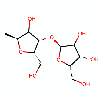 C[C@@H]1O[C@@H](CO)[C@@H](O[C@@H]2O[C@@H](CO)[C@@H](O)C2O)C1O